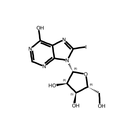 OC[C@H]1O[C@@H](n2c(I)nc3c(O)ncnc32)[C@H](O)[C@@H]1O